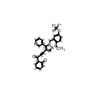 COc1ccc(OC(F)(F)F)cc1Cn1nnc(C#CC(=O)c2ccccc2Cl)c1-c1cccnc1